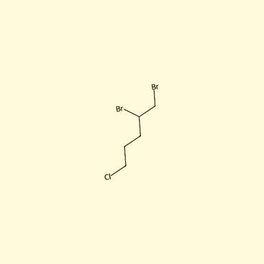 ClCCCC(Br)CBr